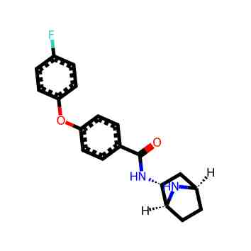 O=C(N[C@@H]1C[C@H]2CC[C@@H]1N2)c1ccc(Oc2ccc(F)cc2)cc1